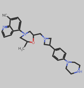 CC1CN(c2ccc(C#N)c3ncccc23)CC(CN2CC(c3ccc(N4CCNCC4)cc3)C2)O1